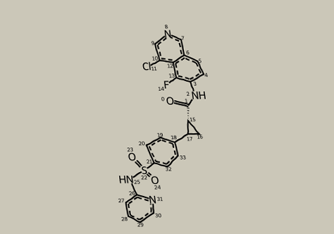 O=C(Nc1ccc2cncc(Cl)c2c1F)[C@@H]1CC1c1ccc(S(=O)(=O)Nc2ccccn2)cc1